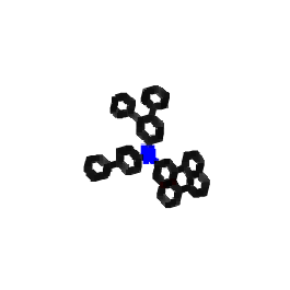 c1ccc(-c2ccc(N(c3cccc(-c4cccc5cccc(-c6ccccc6)c45)c3)c3ccc(-c4ccccc4)c(-c4ccccc4)c3)cc2)cc1